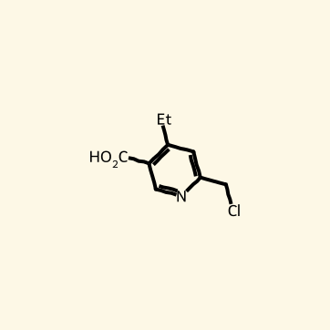 CCc1cc(CCl)ncc1C(=O)O